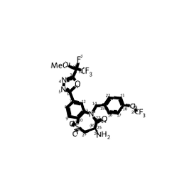 COC(F)(c1nnc(-c2ccc3c(c2)N(Cc2ccc(OC(F)(F)F)cc2)C(=O)[C@@H](N)CS3(=O)=O)o1)C(F)(F)F